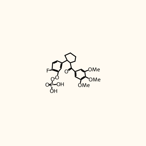 COc1cc(C(=O)C2CCCCC2c2ccc(F)c(OOP(=O)(O)O)c2)cc(OC)c1OC